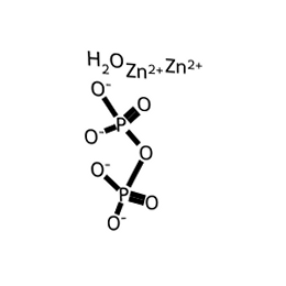 O.O=P([O-])([O-])OP(=O)([O-])[O-].[Zn+2].[Zn+2]